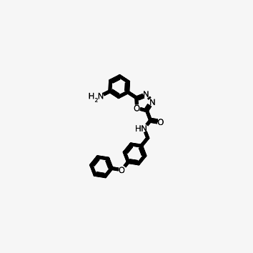 Nc1cccc(-c2nnc(C(=O)NCc3ccc(Oc4ccccc4)cc3)o2)c1